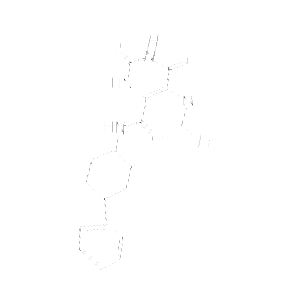 CC(C)CNc1c(C(=O)NC2CCC(c3ccccc3)CC2)[nH]c(=O)[nH]c1=O